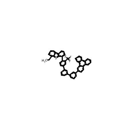 CCc1cccc2c1sc1c(-c3ccc(-c4cccc(-c5cccc(-c6ccc7c8ccccc8c8ccccc8c7c6)c5)c4)cc3C(F)(F)F)cccc12